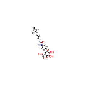 CCC(C)(CC)CCCCCCC(=O)Nc1ccc(OC2CC(CO)C(O)C(O)C2O)cc1